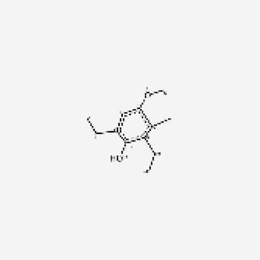 CCc1cc(OC)c(C)c(CC)c1O